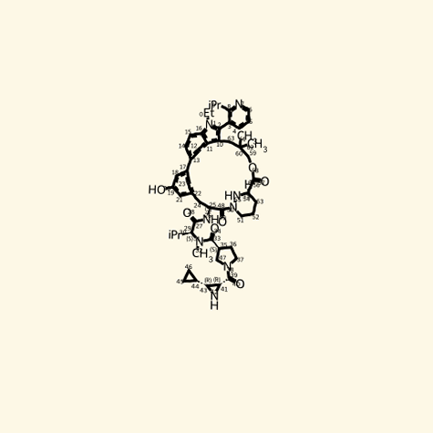 CCn1c(-c2cccnc2C(C)C)c2c3cc(ccc31)-c1cc(O)cc(c1)C[C@H](NC(=O)[C@H](C(C)C)N(C)C(=O)[C@H]1CCN(C(=O)[C@@H]3N[C@@H]3C3CC3)C1)C(=O)N1CCC[C@H](N1)C(=O)OCC(C)(C)C2